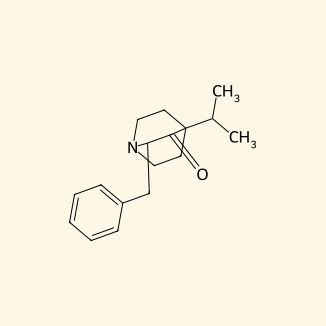 CC(C)C12CCN(CC1)C(Cc1ccccc1)C2=O